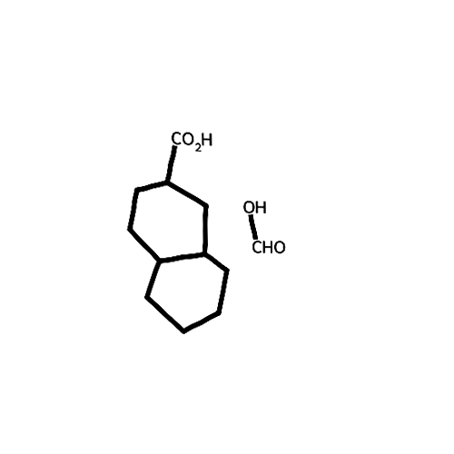 O=C(O)C1CCC2CCCCC2C1.O=CO